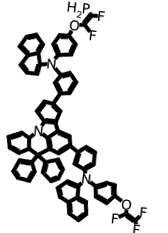 FC(F)=C(F)Oc1ccc(N(c2cccc(-c3cc4c5c(c3)c3cc(-c6cccc(N(c7ccc(O/C(F)=C(/F)P)cc7)c7cccc8ccccc78)c6)ccc3n5C3C=CC=CC3C4(c3ccccc3)c3ccccc3)c2)c2cccc3ccccc23)cc1